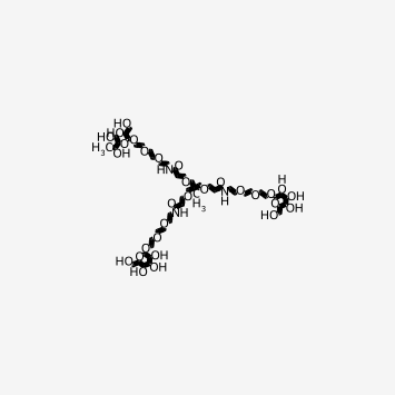 CC(O)C(CO)OC(OCCOCCOCCNC(=O)CCOCC(C)(COCCC(=O)NCCOCCOCCOC1OC(CO)C(O)C(O)C1O)COCCC(=O)NCCOCCOCCOC1OC(CO)C(O)C(O)C1O)[C@H](O)CO